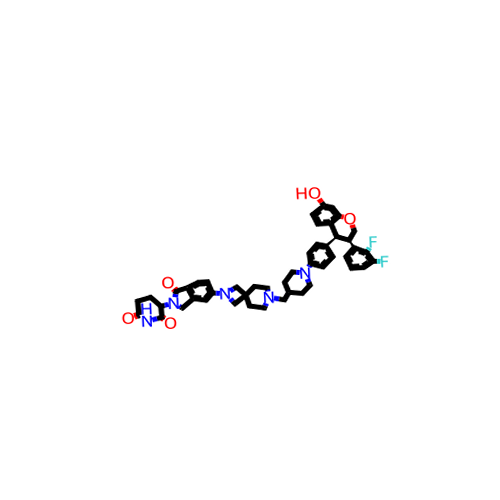 O=C1CCC(N2Cc3cc(N4CC5(CCN(CC6CCN(c7ccc([C@H]8c9ccc(O)cc9OC[C@H]8c8cccc(F)c8F)cc7)CC6)CC5)C4)ccc3C2=O)C(=O)N1